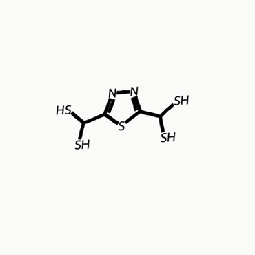 SC(S)c1nnc(C(S)S)s1